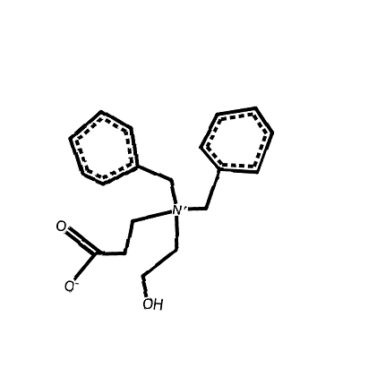 O=C([O-])CC[N+](CCO)(Cc1ccccc1)Cc1ccccc1